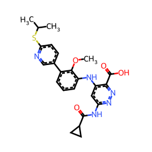 COc1c(Nc2cc(NC(=O)C3CC3)nnc2C(=O)O)cccc1-c1ccc(SC(C)C)nc1